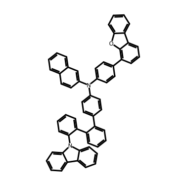 c1ccc(-c2ccccc2-n2c3ccccc3c3ccccc32)c(-c2ccc(N(c3ccc(-c4cccc5c4oc4ccccc45)cc3)c3ccc4ccccc4c3)cc2)c1